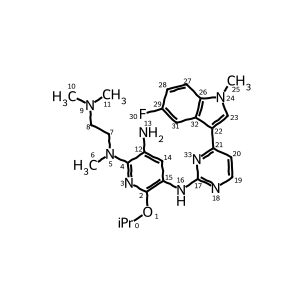 CC(C)Oc1nc(N(C)CCN(C)C)c(N)cc1Nc1nccc(-c2cn(C)c3ccc(F)cc23)n1